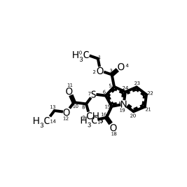 CCOC(=O)c1c(SC(C)C(=O)OCC)c(C(C)=O)n2ccccc12